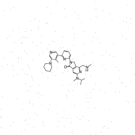 CNCc1nc(N(C)C(C)C)cc2c1CN(c1cccc(-c3cncc(N4CCCCC4)c3C)n1)C2=O